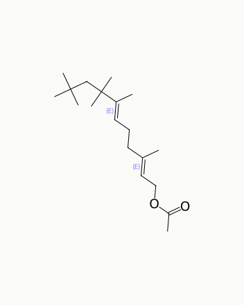 CC(=O)OC/C=C(\C)CC/C=C(\C)C(C)(C)CC(C)(C)C